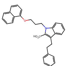 O=C(O)c1c(CCc2ccccc2)c2ccccc2n1CCCOc1cccc2ccccc12